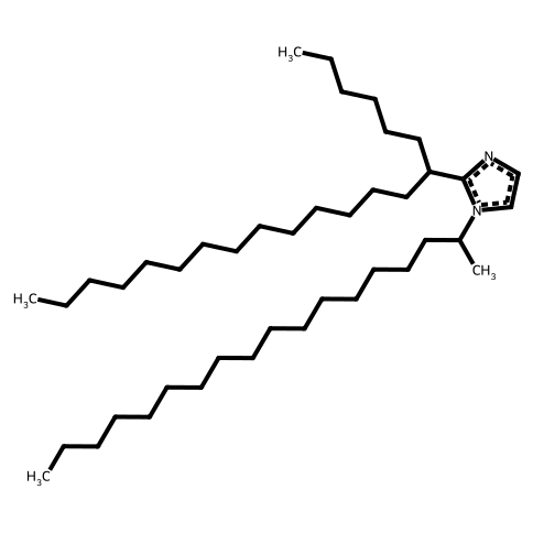 CCCCCCCCCCCCCCCCC(C)n1ccnc1C(CCCCCC)CCCCCCCCCCCCCC